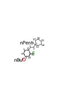 CCCCCC1(CCc2ccc(OCCCC)cc2F)CCCCC1